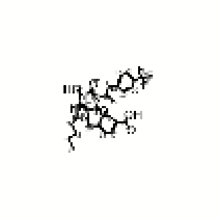 CCCCc1ncc(C(=O)N(C(=O)NO)C(C)Cc2ccc(C(F)(F)F)cc2)n1Cc1ccc(C(=O)O)cc1